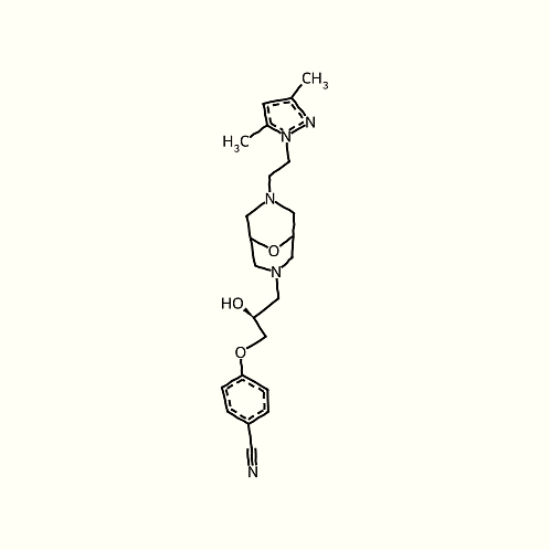 Cc1cc(C)n(CCN2CC3CN(C[C@H](O)COc4ccc(C#N)cc4)CC(C2)O3)n1